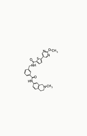 COc1ncc(-c2ccc(C(=O)NCc3cccc(C(=O)Nc4ccc5c(c4)CN(C)CC5)c3)s2)cn1